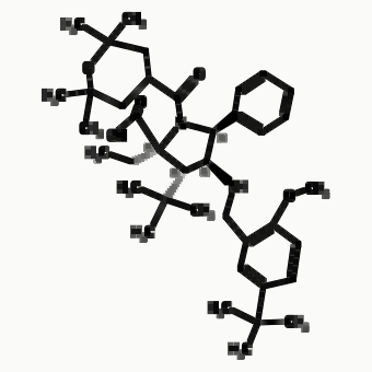 CC[C@@]1(C(=O)O)[C@@H](C(C)(C)C)[C@H](NCc2cc(C(C)(C)C)ccc2OC)[C@H](c2ccccc2)N1C(=O)C1CC(C)(C)OC(C)(C)C1